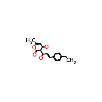 CCc1ccc(C=CC(=O)C2C(=O)C=C(C)OC2=O)cc1